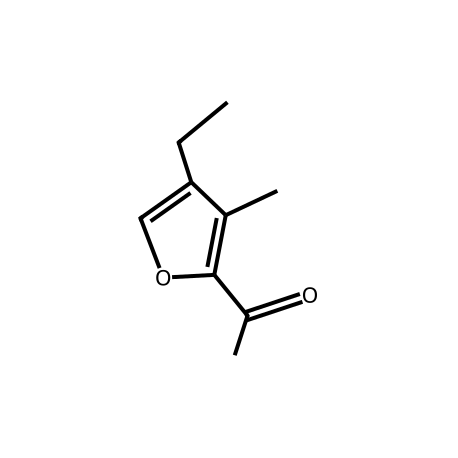 CCc1coc(C(C)=O)c1C